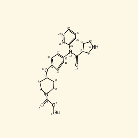 CC(C)(C)OC(=O)N1CCC(Oc2ccc(N(C(=O)C3CCNC3)c3cccnn3)cc2)CC1